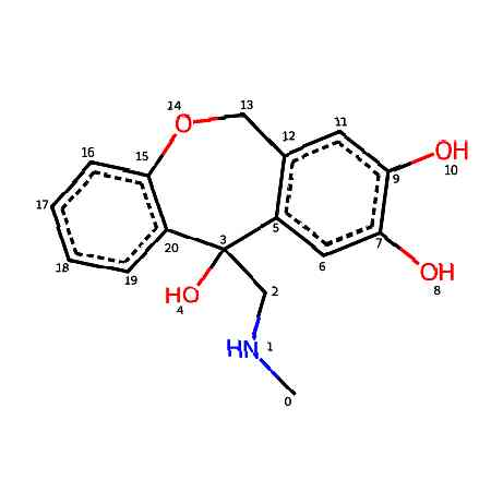 CNCC1(O)c2cc(O)c(O)cc2COc2ccccc21